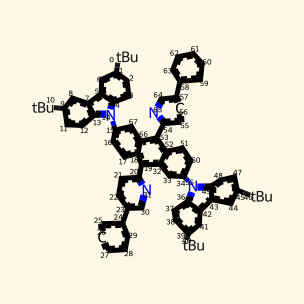 CC(C)(C)c1ccc2c(c1)c1cc(C(C)(C)C)ccc1n2-c1ccc2c(-c3ccc(-c4ccccc4)cn3)c3cc(-n4c5ccc(C(C)(C)C)cc5c5cc(C(C)(C)C)ccc54)ccc3c(-c3ccc(-c4ccccc4)cn3)c2c1